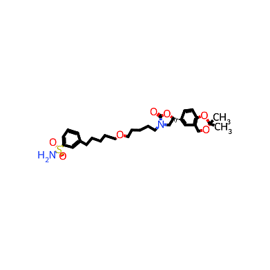 CC1(C)OCc2cc([C@@H]3CN(CCCCCOCCCCCc4cccc(S(N)(=O)=O)c4)C(=O)O3)ccc2O1